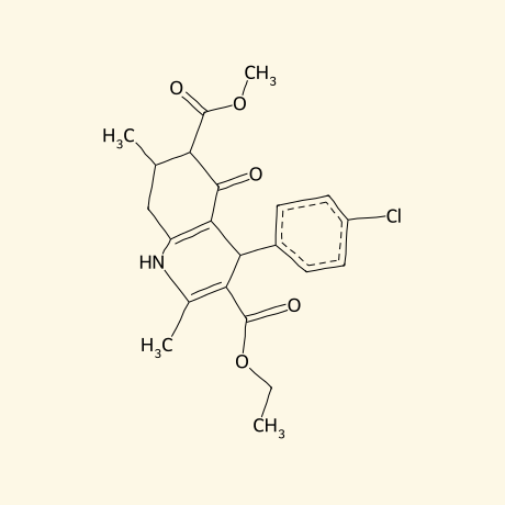 CCOC(=O)C1=C(C)NC2=C(C(=O)C(C(=O)OC)C(C)C2)C1c1ccc(Cl)cc1